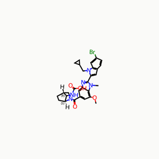 COc1cc(C(=O)N2C[C@H]3CC[C@H]2C3NC(=O)O)cc2nc(-c3cc4ccc(Br)cc4n3CC3CC3)n(C)c12